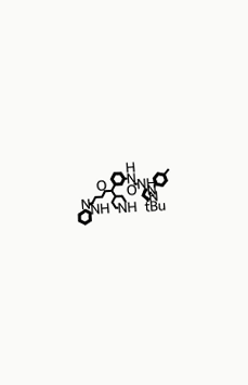 Cc1ccc(-n2nc(C(C)(C)C)cc2NC(=O)Nc2cccc(C(C(=O)CCc3nc4ccccc4[nH]3)C3CCNCC3)c2)cc1